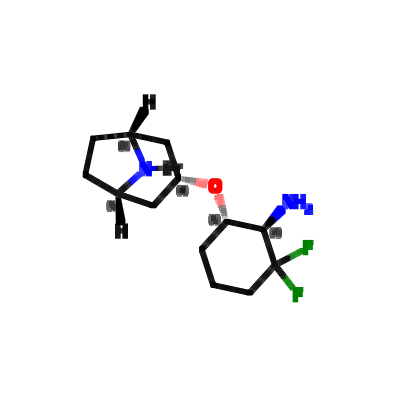 CC(C)N1[C@@H]2CC[C@H]1C[C@@H](O[C@H]1CCCC(F)(F)[C@@H]1N)C2